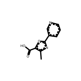 Cc1nc(-c2cccnc2)oc1C(=O)O